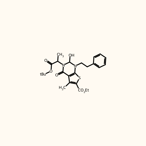 CCOC(=O)c1sc2c(c1C)C(=O)N(C(C)C(=O)OC(C)(C)C)C(O)N2CCc1ccccc1